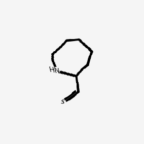 S=CC1CCCCCN1